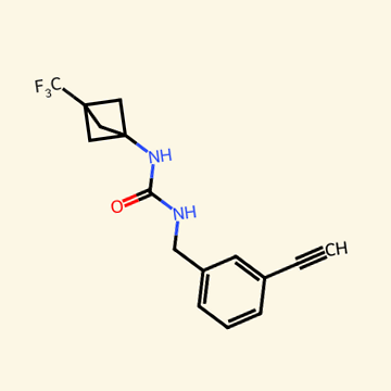 C#Cc1cccc(CNC(=O)NC23CC(C(F)(F)F)(C2)C3)c1